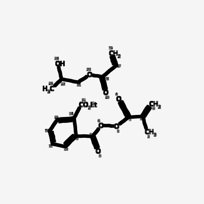 C=C(C)C(=O)OOC(=O)c1ccccc1C(=O)OCC.C=CC(=O)OCC(C)O